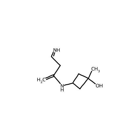 C=C(CC=N)NC1CC(C)(O)C1